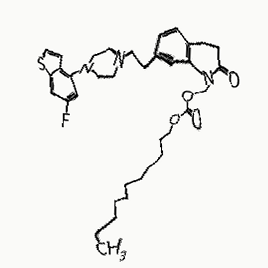 CCCCCCCCCCCOC(=O)OCN1C(=O)CCc2ccc(CCN3CCN(c4cc(F)cc5sccc45)CC3)cc21